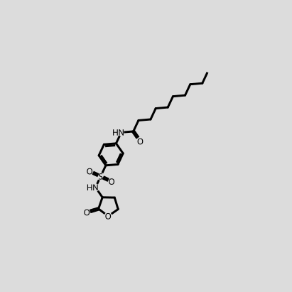 CCCCCCCCCC(=O)Nc1ccc(S(=O)(=O)NC2CCOC2=O)cc1